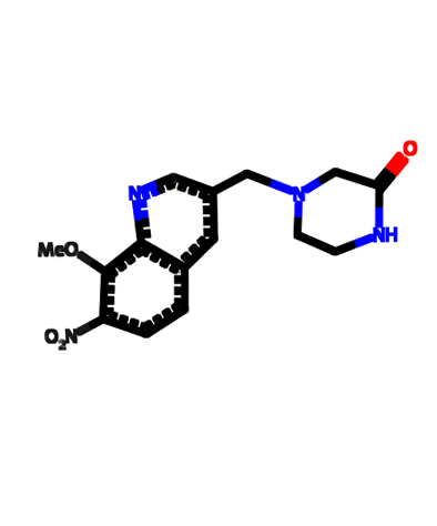 COc1c([N+](=O)[O-])ccc2cc(CN3CCNC(=O)C3)cnc12